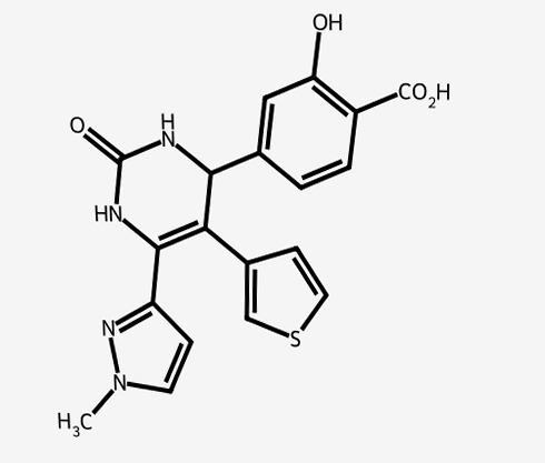 Cn1ccc(C2=C(c3ccsc3)C(c3ccc(C(=O)O)c(O)c3)NC(=O)N2)n1